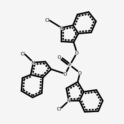 O=P(Oc1cn(Cl)c2ccccc12)(Oc1cn(Cl)c2ccccc12)Oc1cn(Cl)c2ccccc12